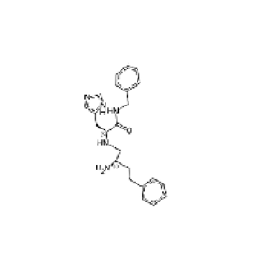 N[C@H](CCc1ccccc1)CN[C@@H](Cc1cnc[nH]1)C(=O)NCc1cc[c]cc1